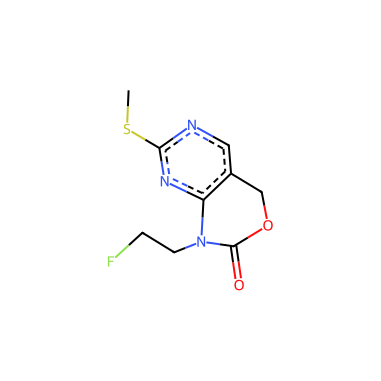 CSc1ncc2c(n1)N(CCF)C(=O)OC2